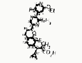 CCOc1cc(-c2ncc(C3CCc4ccc(C(C5CC5)C(C)C(=O)O)c(F)c4O3)nc2C)c(F)cn1